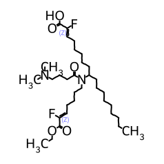 CCCCCCCCCC(CCCCC/C=C(\F)C(=O)O)N(CCCC/C=C(\F)C(=O)OCC)C(=O)CCCN(C)C